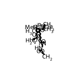 C=CCOC(=O)NCc1noc(C(N)CSCc2c(O[Si](C)(C)C(C)(C)C(C)C)cc(OC)c(C)c2C(=O)OCC=C)n1